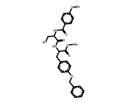 CCOc1ccc(C(=O)NC(CC(C)C)C(=O)NC(Cc2ccc(OCc3ccccc3)cc2)C(=O)OC(C)(C)C)cc1